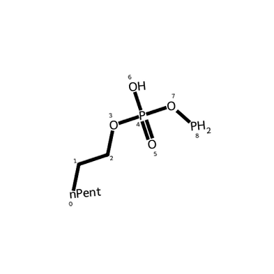 CCCCCCCOP(=O)(O)OP